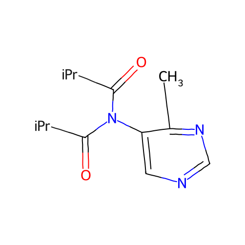 Cc1ncncc1N(C(=O)C(C)C)C(=O)C(C)C